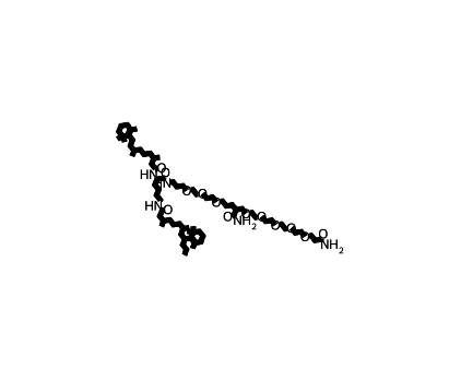 CCCC(CC(C)CCCC(C)CC(=O)NCCCCC(NC(=O)CC(C)CCCC(C)CCC1=C(C)CCCC1(C)C)C(=O)NCCCOCCOCCOCCCC(COCCOCCOCCOCCOCCC(N)=O)C(N)=O)C1=C(C)CCCC1(C)C